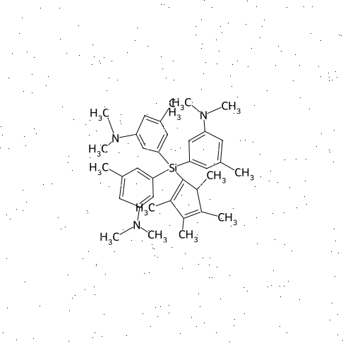 CC1=C(C)C(C)C([Si](c2cc(C)cc(N(C)C)c2)(c2cc(C)cc(N(C)C)c2)c2cc(C)cc(N(C)C)c2)=C1C